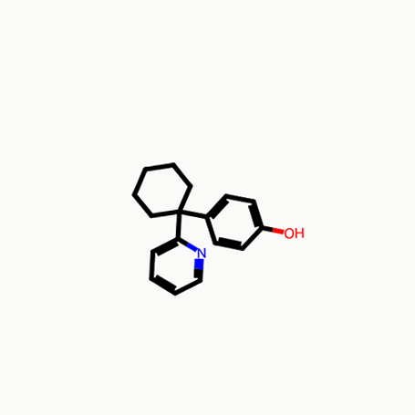 Oc1ccc(C2(c3ccccn3)CCCCC2)cc1